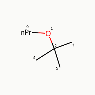 C[CH]COC(C)(C)C